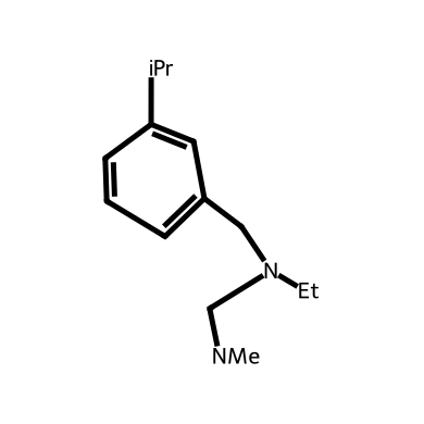 CCN(CNC)Cc1cccc(C(C)C)c1